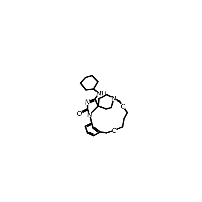 O=C1N=C(NC2CCCCC2)C23CCN(CCCCCCCc4cccc(c4)N12)CC3